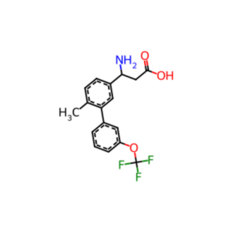 Cc1ccc(C(N)CC(=O)O)cc1-c1cccc(OC(F)(F)F)c1